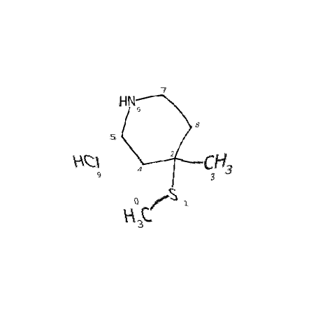 CSC1(C)CCNCC1.Cl